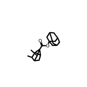 CC1C2CC3C1C3(C(=O)OC13CC4CC(CC(C4)C1)C3)C2C